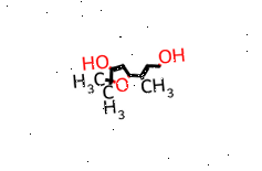 CC(=CCO)C1C=C(O)C(C)(C)O1